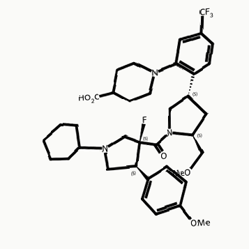 COC[C@@H]1C[C@@H](c2ccc(C(F)(F)F)cc2N2CCC(C(=O)O)CC2)CN1C(=O)[C@@]1(F)CN(C2CCCCC2)C[C@@H]1c1ccc(OC)cc1